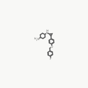 NC1CCC(NC2CC2c2ccc(OCc3ccc(F)cc3)cc2)CC1